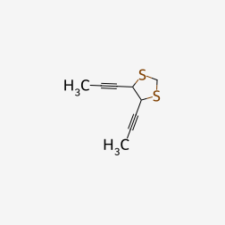 CC#CC1SCSC1C#CC